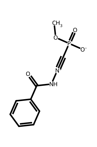 COP(=O)([O-])C#[N+]NC(=O)c1ccccc1